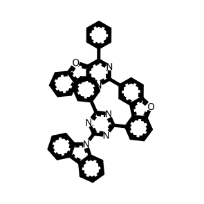 c1ccc(-c2nc(-c3cccc4oc5ccc(-c6nc(-c7ccccc7)c7oc8ccccc8c7n6)cc5c34)nc(-n3c4ccccc4c4ccccc43)n2)cc1